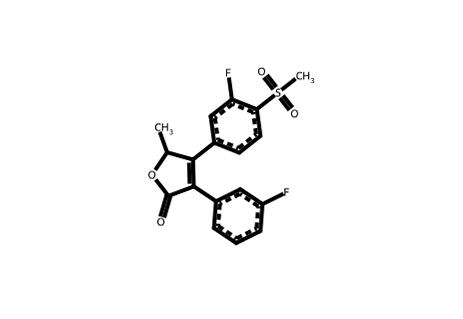 CC1OC(=O)C(c2cccc(F)c2)=C1c1ccc(S(C)(=O)=O)c(F)c1